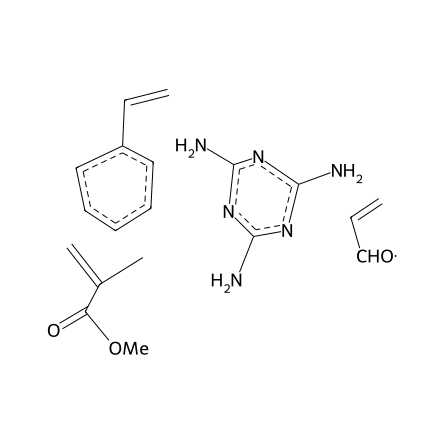 C=C(C)C(=O)OC.C=C[C]=O.C=Cc1ccccc1.Nc1nc(N)nc(N)n1